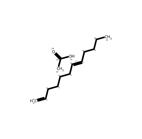 C=CCCCC/C=C/CCCC.CC(=O)O